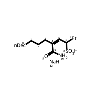 CCCCCCCCCCCCCC(=CC(CC)S(=O)(=O)O)C(N)=O.[NaH]